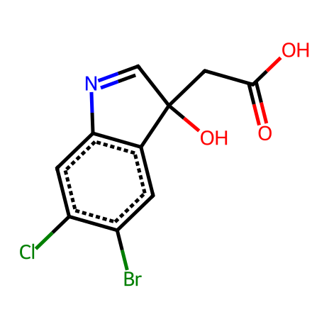 O=C(O)CC1(O)C=Nc2cc(Cl)c(Br)cc21